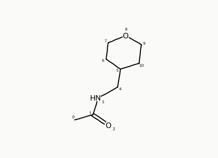 CC(=O)NCC1CCOCC1